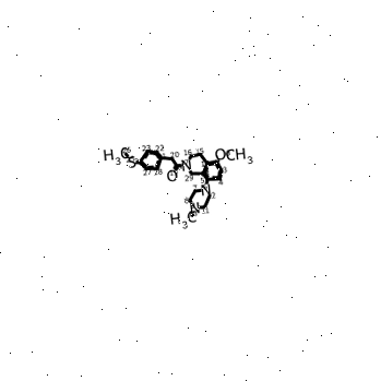 COc1ccc(N2CCN(C)CC2)c2c1CCN(C(=O)Cc1ccc(SC)cc1)C2